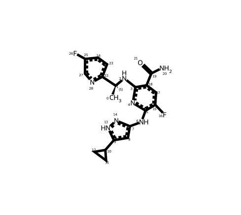 C[C@H](Nc1nc(Nc2cc(C3CC3)[nH]n2)c(F)cc1C(N)=O)c1ccc(F)cn1